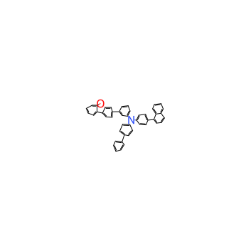 c1ccc(-c2ccc(N(c3ccc(-c4cccc5ccccc45)cc3)c3cccc(-c4ccc5c(c4)oc4ccccc45)c3)cc2)cc1